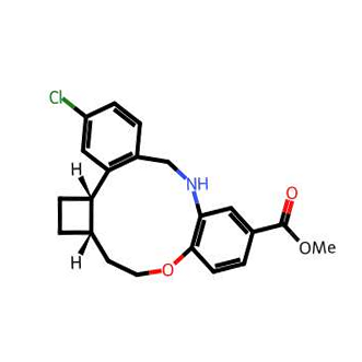 COC(=O)c1ccc2c(c1)NCc1ccc(Cl)cc1[C@H]1CC[C@H]1CCO2